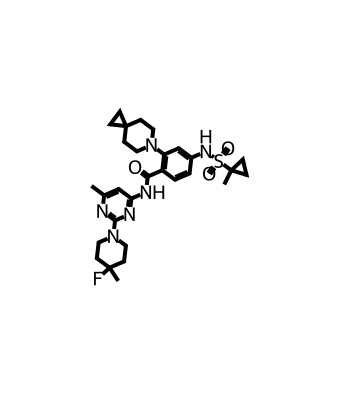 Cc1cc(NC(=O)c2ccc(NS(=O)(=O)C3(C)CC3)cc2N2CCC3(CC2)CC3)nc(N2CCC(C)(F)CC2)n1